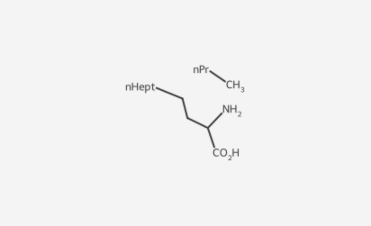 CCCC.CCCCCCCCCC(N)C(=O)O